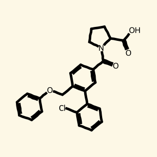 O=C(O)C1CCCN1C(=O)c1ccc(COc2ccccc2)c(-c2ccccc2Cl)c1